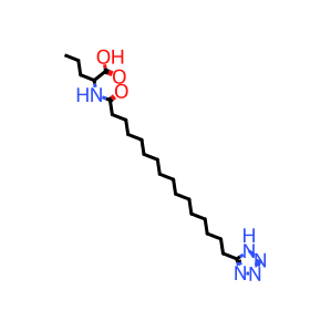 CCCC(NC(=O)CCCCCCCCCCCCCCCc1nnn[nH]1)C(=O)O